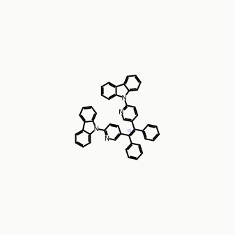 c1ccc(/C(=C(\c2ccccc2)c2ccc(-n3c4ccccc4c4ccccc43)nc2)c2ccc(-n3c4ccccc4c4ccccc43)nc2)cc1